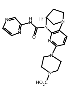 O=C(O)N1CCN(c2ccc3c(n2)N(C(=O)Nc2cnccn2)[C@H]2CCN3C2)CC1